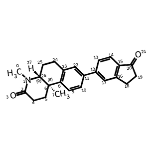 CN1C(=O)CC[C@]2(C)c3ccc(-c4ccc5c(c4)CCC5=O)cc3CC[C@@H]12